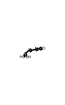 C[C@]1(O)CCN(C/C=C/c2ccc(C#Cc3ccc(-c4ccc(Cl)cc4)cn3)cn2)C[C@H]1O